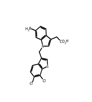 Bc1ccc2c(CC(=O)O)cn(Cc3csc4c(Cl)c(Cl)ccc34)c2c1